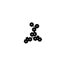 CC1(C)c2ccccc2-c2ccc(N(c3ccc4c(c3)C(C)(C)c3ccccc3-4)c3cccc4c(-c5ccc6c(c5)c5ccccc5n6-c5ccccc5)cccc34)cc21